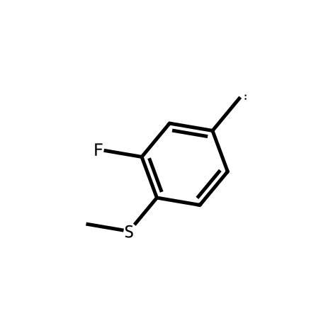 [CH]c1ccc(SC)c(F)c1